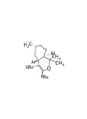 C[C@@H]1CC[C@@H]2[C@@H](C1)C(C(C)(C)C)=C(C(C)(C)C)OC2(C)C